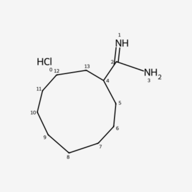 Cl.N=C(N)C1CCCCCCCCC1